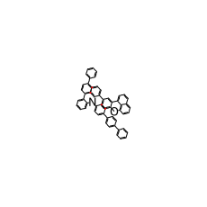 c1ccc(-c2ccc(-c3ccc(N(c4ccccc4-c4ccc(-c5ccccc5)cc4)c4ccccc4-c4ccc5c(c4)-c4cccc6cccc(c46)O5)cc3)cc2)cc1